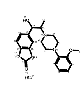 COc1ccccc1N1CCN(C(C)C(O)c2ccc3[nH]c(=O)[nH]c3c2)CC1.Cl